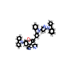 c1cnc2c(c1)C1(c3ccc(-c4ccc5c(c4)c4ccccc4n5-c4ccc(-n5c6ccccc6c6ccccc65)nc4)cc3Oc3cc(-n4c5ccccc5c5ccccc54)ccc31)c1cccnc1-2